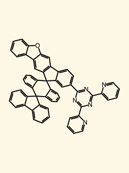 c1ccc(-c2nc(-c3ccc4c(c3)C3(c5cc6c(cc5-4)oc4ccccc46)c4ccccc4C4(c5ccccc5-c5ccccc54)c4ccccc43)nc(-c3ccccn3)n2)nc1